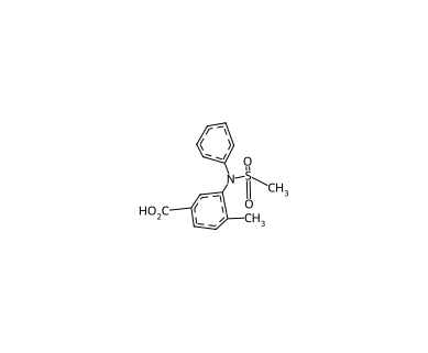 Cc1ccc(C(=O)O)cc1N(c1ccccc1)S(C)(=O)=O